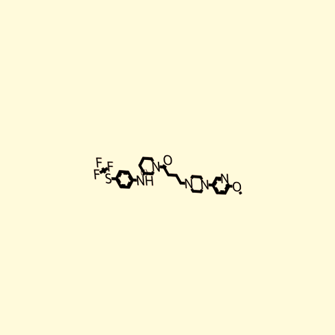 COc1ccc(N2CCN(CCCC(=O)N3CCC[C@H](Nc4ccc(SC(F)(F)F)cc4)C3)CC2)cn1